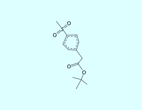 CC(C)(C)OC(=O)Cc1ccc(S(C)(=O)=O)cc1